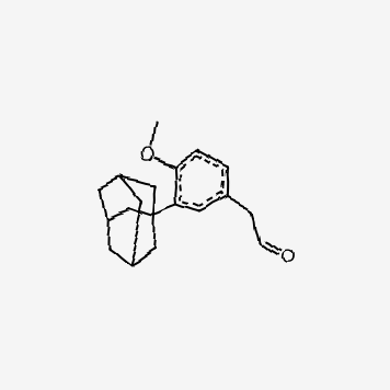 COc1ccc(CC=O)cc1C12CC3CC(CC(C3)C1)C2